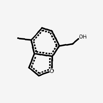 Cc1ccc(CO)c2occc12